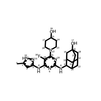 Cc1cc(Nc2nc(NC3C4CC5CC3CC(O)(C5)C4)nc(N3CCC(O)CC3)c2F)n[nH]1